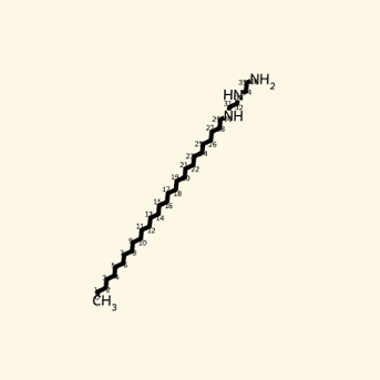 CCCCCCCCCCCCCCCCCCCCCCCCCCCCCCNCCNCCN